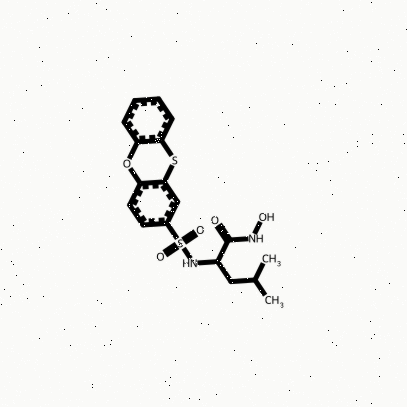 CC(C)CC(NS(=O)(=O)c1ccc2c(c1)Sc1ccccc1O2)C(=O)NO